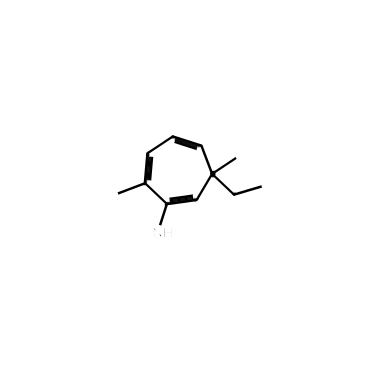 CCC1(C)C=CC=C(C)C(N)=C1